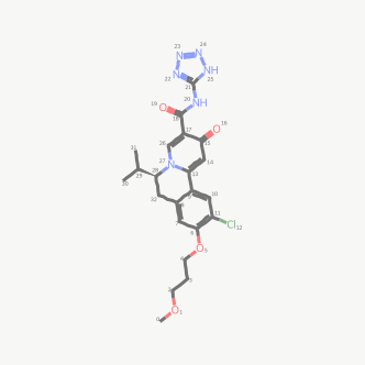 COCCCOc1cc2c(cc1Cl)-c1cc(=O)c(C(=O)Nc3nnn[nH]3)cn1[C@H](C(C)C)C2